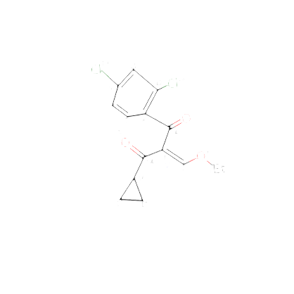 CCO/C=C(\C(=O)c1ccc(Cl)cc1Cl)C(=O)C1CC1